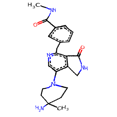 CNC(=O)c1cccc(-c2ncc(N3CCC(C)(N)CC3)c3c2C(=O)NC3)c1